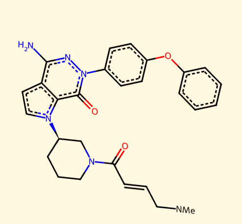 CNC/C=C/C(=O)N1CCC[C@@H](n2ccc3c(N)nn(-c4ccc(Oc5ccccc5)cc4)c(=O)c32)C1